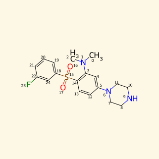 CN(C)c1cc(N2CCNCC2)ccc1S(=O)(=O)c1cccc(F)c1